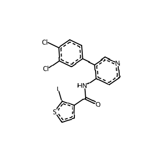 O=C(Nc1ccncc1-c1ccc(Cl)c(Cl)c1)c1ccsc1I